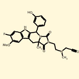 C#CCN(C)CCN1C(=O)N2C(c3cccc(O)c3)c3[nH]c4cc(F)c(OC)cc4c3CC2(C)C1=O